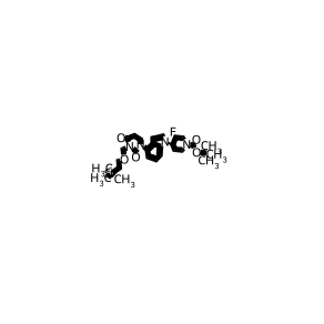 CC(C)(C)OC(=O)N1CC[C@@H](n2ccc3c(N4CCC(=O)N(COCC[Si](C)(C)C)C4=O)cccc32)[C@@H](F)C1